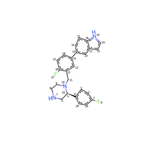 Fc1ccc([C@H]2CNCCN2Cc2cc(-c3ccc4[nH]ccc4c3)ccc2F)cc1